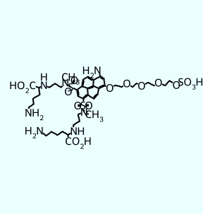 CN(CCCNC(CCCCN)C(=O)O)S(=O)(=O)c1cc(S(=O)(=O)N(C)CCCNC(CCCCN)C(=O)O)c2ccc3c(OCCOCCOCCOCCOS(=O)(=O)O)cc(N)c4ccc1c2c43